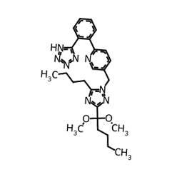 CCCCc1nc(C(CCCC)(OC)OC)nn1Cc1ccc(-c2ccccc2-c2nnn[nH]2)nc1